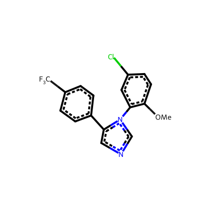 COc1ccc(Cl)cc1-n1cncc1-c1ccc(C(F)(F)F)cc1